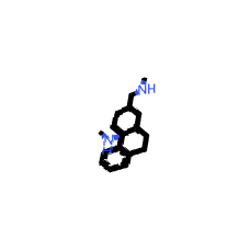 CNCC1CCC2(NC)c3ccccc3CCC2C1